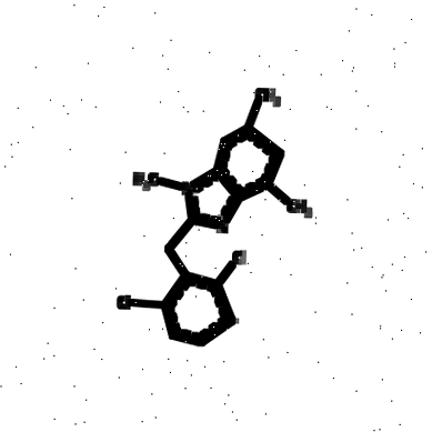 Cc1cc(C)c2nc(Cc3c(Cl)[c]ccc3Cl)n(C)c2c1